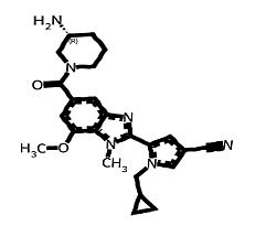 COc1cc(C(=O)N2CCC[C@@H](N)C2)cc2nc(-c3cc(C#N)cn3CC3CC3)n(C)c12